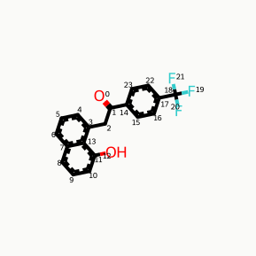 O=C(Cc1cccc2cccc(O)c12)c1ccc(C(F)(F)F)cc1